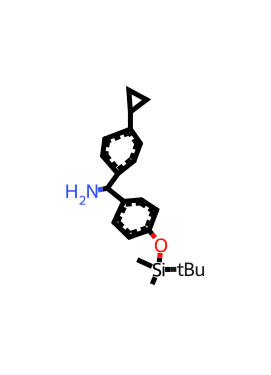 CC(C)(C)[Si](C)(C)Oc1ccc(C(N)c2ccc(C3CC3)cc2)cc1